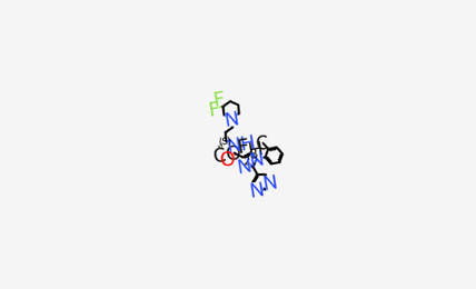 O=C(O)C[C@H](CCN1CCCC(F)(F)C1)NC(=O)c1cn(-c2ccccc2C(F)(F)F)c(-c2cncnc2)n1